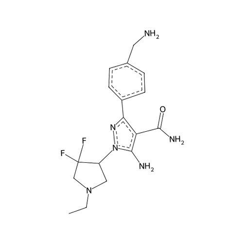 CCN1CC(n2nc(-c3ccc(CN)cc3)c(C(N)=O)c2N)C(F)(F)C1